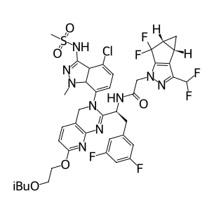 CC(C)COCCOc1ccc2c(n1)N=C([C@H](Cc1cc(F)cc(F)c1)NC(=O)Cn1nc(C(F)F)c3c1C(F)(F)[C@@H]1C[C@H]31)N(C1=CC=C(Cl)C3C(NS(C)(=O)=O)=NN(C)C13)C2